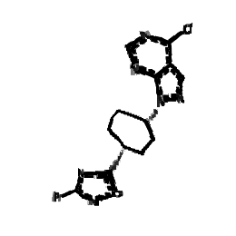 CC(C)c1noc([C@H]2CC[C@@H](n3ncc4c(Cl)ncnc43)CC2)n1